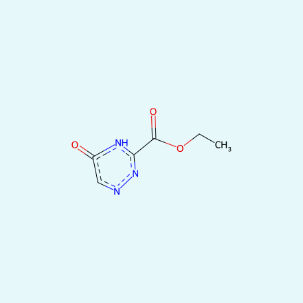 CCOC(=O)c1nncc(=O)[nH]1